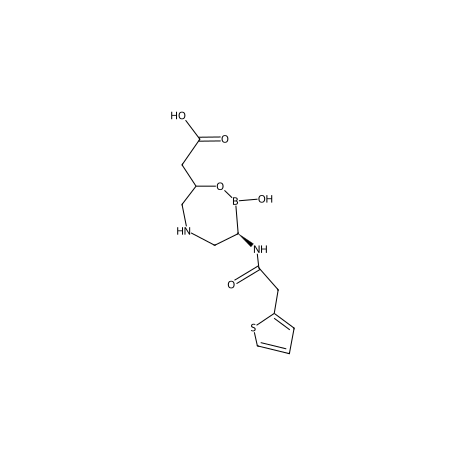 O=C(O)CC1CNC[C@H](NC(=O)Cc2cccs2)B(O)O1